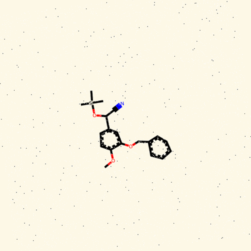 COc1ccc(C(C#N)O[Si](C)(C)C)cc1OCc1ccccc1